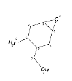 CC1CC2OC2CC1CO